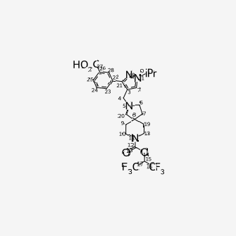 CC(C)n1cc(CN2CCC3(CCN(C(=O)OC(C(F)(F)F)C(F)(F)F)CC3)C2)c(-c2cccc(C(=O)O)c2)n1